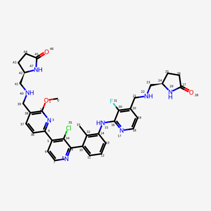 COc1nc(-c2ccnc(-c3cccc(Nc4nccc(CNC[C@H]5CCC(=O)N5)c4F)c3C)c2Cl)ccc1CNC[C@H]1CCC(=O)N1